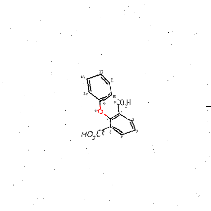 O=C(O)c1cccc(C(=O)O)c1Oc1ccccc1